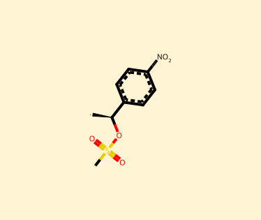 [CH2][C@H](OS(C)(=O)=O)c1ccc([N+](=O)[O-])cc1